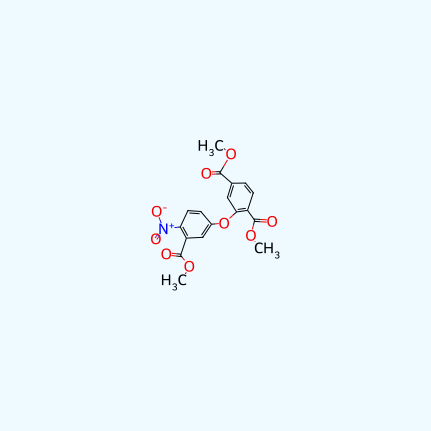 COC(=O)c1ccc(C(=O)OC)c(Oc2ccc([N+](=O)[O-])c(C(=O)OC)c2)c1